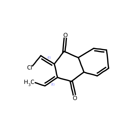 C/C=C1/C(=O)C2C=CC=CC2C(=O)/C1=C/Cl